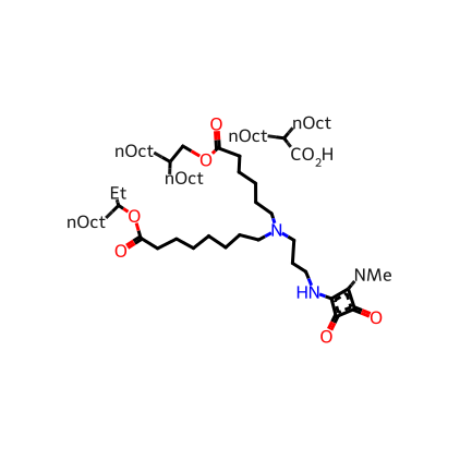 CCCCCCCCC(CCCCCCCC)C(=O)O.CCCCCCCCC(CCCCCCCC)COC(=O)CCCCCN(CCCCCCCC(=O)OC(CC)CCCCCCCC)CCCNc1c(NC)c(=O)c1=O